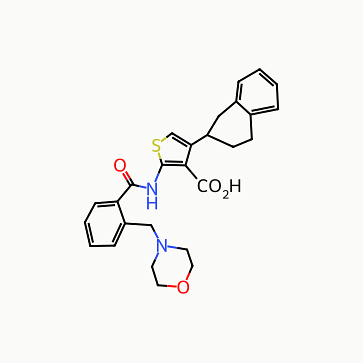 O=C(Nc1scc(C2CCc3ccccc3C2)c1C(=O)O)c1ccccc1CN1CCOCC1